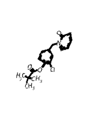 CC(C)(C)C(=O)Oc1ccc(Cn2ccccc2=O)cc1Cl